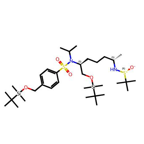 CC(C)N([C@@H](CCC[C@H](C)N[S@@+]([O-])C(C)(C)C)CO[Si](C)(C)C(C)(C)C)S(=O)(=O)c1ccc(CO[Si](C)(C)C(C)(C)C)cc1